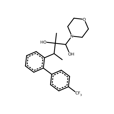 CC(c1ccccc1-c1ccc(C(F)(F)F)cc1)C(C)(O)C(O)N1CCOCC1